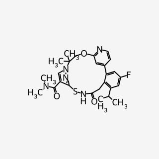 CC(C)c1cc(F)cc2c1CC(=O)NSc1nn(cc1C(=O)N(C)C)C(C)(C)COc1cc-2ccn1